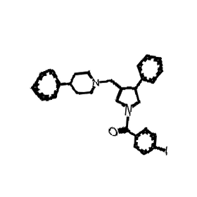 O=C(c1ccc(I)cc1)N1CC(CN2CCC(c3ccccc3)CC2)C(c2ccccc2)C1